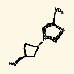 O=[N+]([O-])c1cn([C@H]2C[C@H](O)C2)cn1